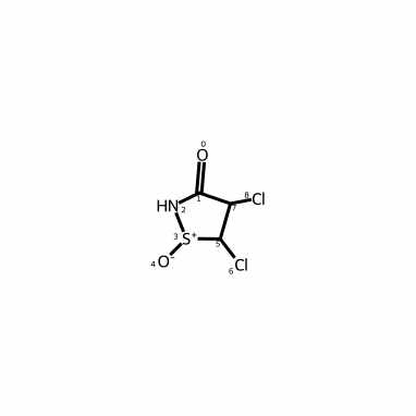 O=C1N[S+]([O-])C(Cl)C1Cl